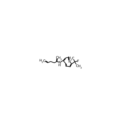 C=CCCC(=C)NC1=C/C=N/C(C(C)(C)F)=C\C=C\1